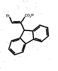 CCC=C(C(=O)O)C1c2ccccc2-c2ccccc21